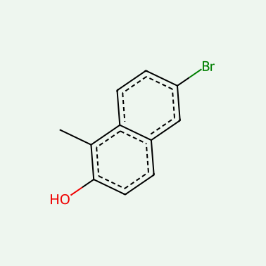 Cc1c(O)ccc2cc(Br)ccc12